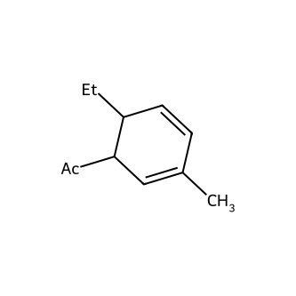 CCC1C=CC(C)=CC1C(C)=O